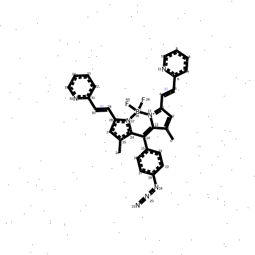 CC1=CC(/C=C/c2ccccn2)=[N+]2C1=C(c1ccc(N=[N+]=[N-])cc1)c1c(C)cc(/C=C/c3ccccn3)n1[B-]2(F)F